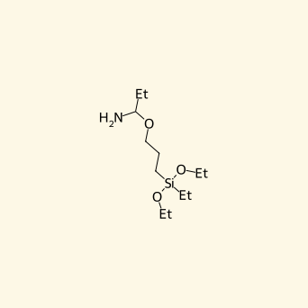 CCO[Si](CC)(CCCOC(N)CC)OCC